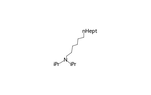 CCCCCCCCCCCCCN(C(C)C)C(C)C